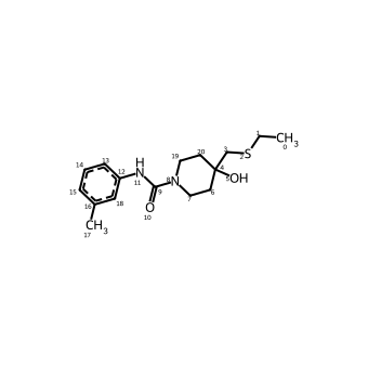 CCSCC1(O)CCN(C(=O)Nc2cccc(C)c2)CC1